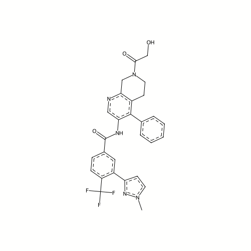 Cn1ccc(-c2cc(C(=O)Nc3cnc4c(c3-c3ccccc3)CCN(C(=O)CO)C4)ccc2C(F)(F)F)n1